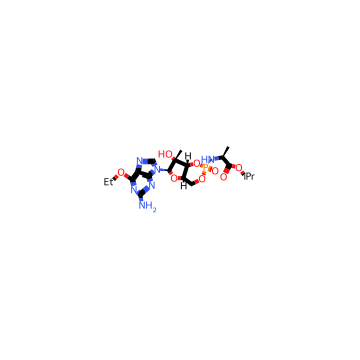 CCOc1nc(N)nc2c1ncn2[C@@H]1O[C@@H]2CO[P@](=O)(N[C@@H](C)C(=O)OC(C)C)O[C@H]2[C@@]1(C)O